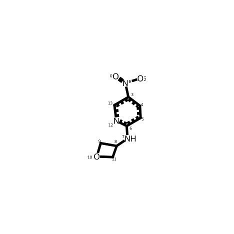 O=[N+]([O-])c1ccc(NC2COC2)nc1